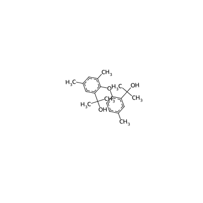 Cc1ccc(Oc2c(C)cc(C)cc2C(C)(C)O)c(C(C)(C)O)c1